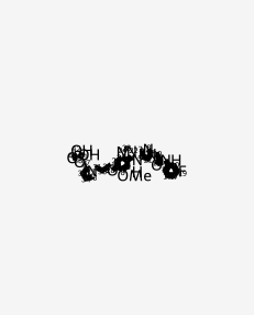 COc1cc2c(Nc3cnn(CC(=O)Nc4cccc(F)c4)c3)ncnc2cc1OCCCN1CCC[C@H]1COP(=O)(O)O